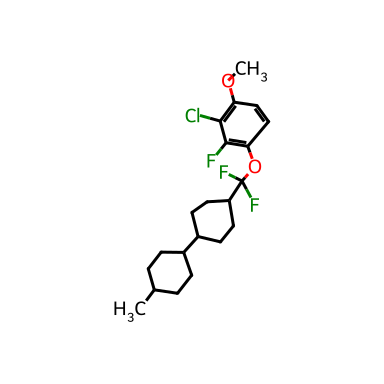 COc1ccc(OC(F)(F)C2CCC(C3CCC(C)CC3)CC2)c(F)c1Cl